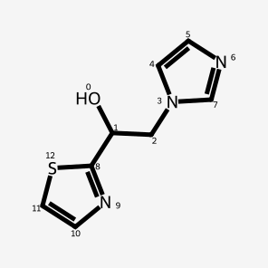 OC(Cn1ccnc1)c1nccs1